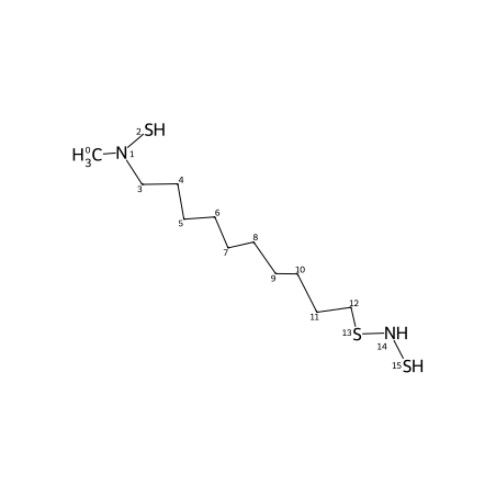 CN(S)CCCCCCCCCCSNS